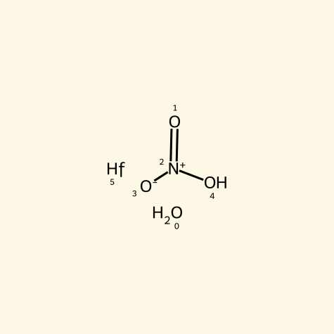 O.O=[N+]([O-])O.[Hf]